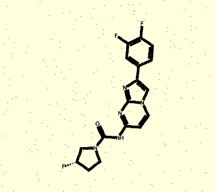 O=C(Nc1ccn2cc(-c3ccc(F)c(F)c3)nc2n1)N1CC[C@H](F)C1